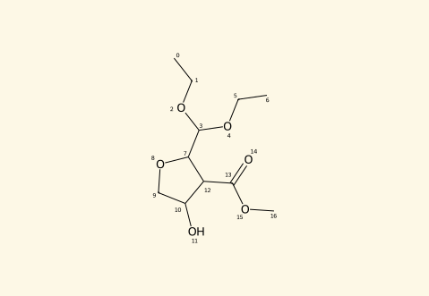 CCOC(OCC)C1OCC(O)C1C(=O)OC